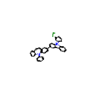 Fc1cccc(-n2c3ccccc3c3cc(-c4ccc5c(c4)C=Cc4ccccc4N5c4ccccc4)ccc32)c1